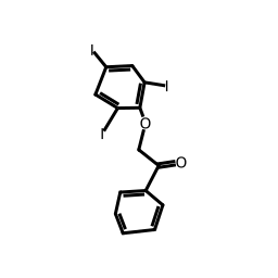 O=C(COc1c(I)cc(I)cc1I)c1ccccc1